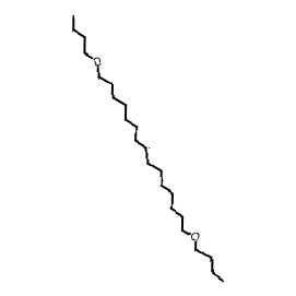 CCCCOCCCCCCC[CH]CCCCCCCOCCCC